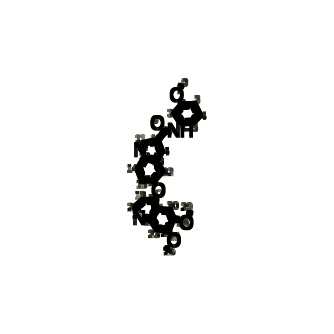 COc1cccc(NC(=O)c2cnc3ccc(Oc4ccnc5cc(OC)c(OC)cc45)cc3c2)c1